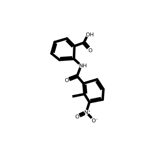 Cc1c(C(=O)Nc2ccccc2C(=O)O)cccc1[N+](=O)[O-]